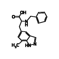 Cc1cc(CC(NCc2ccccc2)C(=O)O)cc2cn[nH]c12